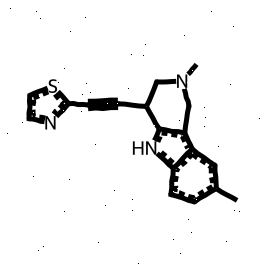 Cc1ccc2[nH]c3c(c2c1)CN(C)CC3C#Cc1nccs1